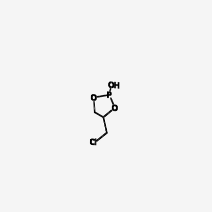 OP1OCC(CCl)O1